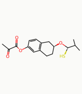 CC(=O)C(=O)Oc1ccc2c(c1)CC[C@H](O[C@H](S)C(C)C)C2